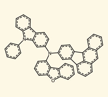 c1ccc(-n2c3ccccc3c3ccc(N(c4ccc5c(c4)-c4cccc6cc7ccccc7c-5c46)c4cccc5oc6ccccc6c45)cc32)cc1